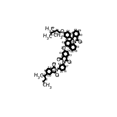 CCCC(C)c1ccc2c(c1)C(=O)N(c1cccc(N3C(=O)c4ccc(Oc5ccc(C6(c7ccc(OCCC(C)(C)CC)cc7)c7ccccc7C(=O)N6c6ccccc6)cc5)cc4C3=O)c1)C2=O